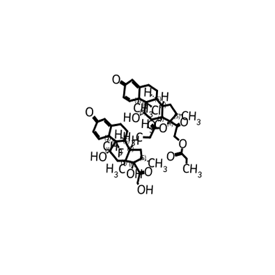 CCC(=O)OCC(=O)[C@@]1(OC(=O)CC)[C@@H](C)C[C@H]2[C@@H]3CCC4=CC(=O)C=C[C@]4(C)[C@@]3(Cl)[C@@H](O)C[C@@]21C.C[C@H]1C[C@H]2[C@@H]3CCC4=CC(=O)C=C[C@]4(C)[C@@]3(F)[C@@H](O)C[C@]2(C)[C@@]1(O)C(=O)CO